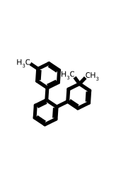 Cc1cccc(-c2ccccc2C2=CC=CC(C)(C)C2)c1